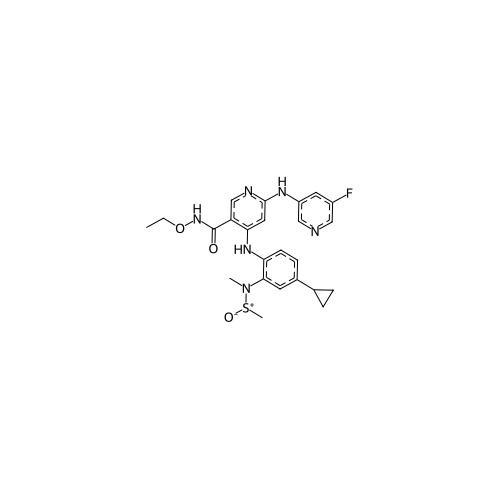 CCONC(=O)c1cnc(Nc2cncc(F)c2)cc1Nc1ccc(C2CC2)cc1N(C)[S+](C)[O-]